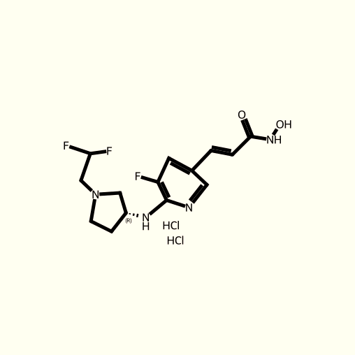 Cl.Cl.O=C(C=Cc1cnc(N[C@@H]2CCN(CC(F)F)C2)c(F)c1)NO